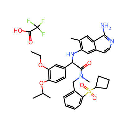 CCOc1cc(C(Nc2cc3ccnc(N)c3cc2C)C(=O)N(C)Cc2ccccc2S(=O)(=O)C2CCC2)ccc1OC(C)C.O=C(O)C(F)(F)F